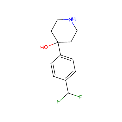 OC1(c2ccc(C(F)F)cc2)CCNCC1